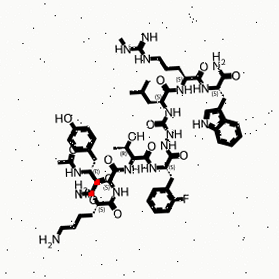 CNC(=N)NCCC[C@H](NC(=O)[C@H](CC(C)C)NC(=O)NNC(=O)[C@H](Cc1ccccc1F)NC(=O)C(NC(=O)[C@H](CC(N)=O)NC(=O)[C@H](CCCCN)NC(=O)[C@@H](Cc1ccc(O)cc1)NC(C)=O)[C@@H](C)O)C(=O)N[C@@H](Cc1c[nH]c2ccccc12)C(N)=O